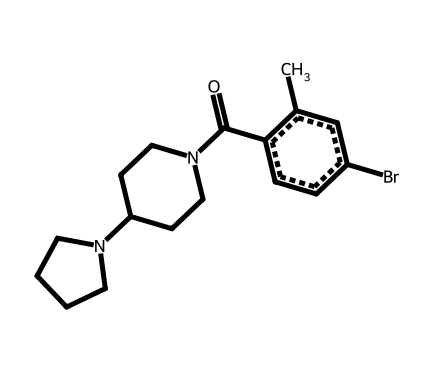 Cc1cc(Br)ccc1C(=O)N1CCC(N2CCCC2)CC1